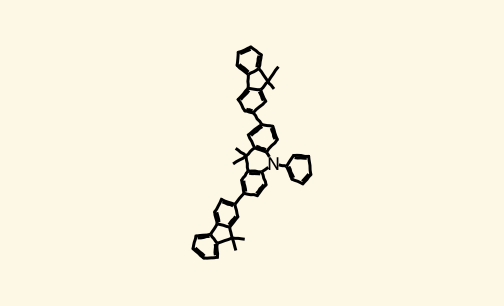 CC1(C)c2ccccc2-c2ccc(-c3ccc4c(c3)C(C)(C)c3cc(-c5ccc6c(c5)C(C)(C)c5ccccc5-6)ccc3N4c3ccccc3)cc21